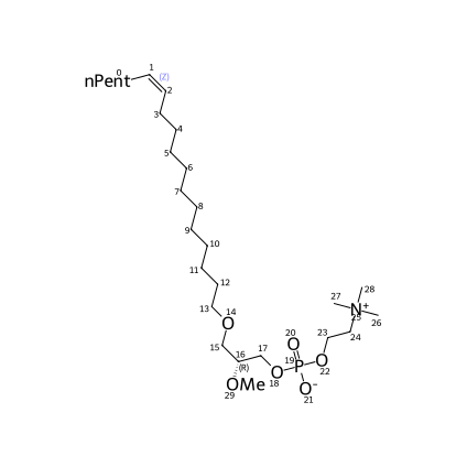 CCCCC/C=C\CCCCCCCCCCCOC[C@H](COP(=O)([O-])OCC[N+](C)(C)C)OC